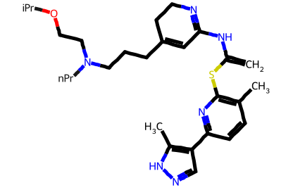 C=C(NC1=NCCC(CCCN(CCC)CCOC(C)C)=C1)Sc1nc(-c2cn[nH]c2C)ccc1C